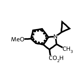 COc1ccc2c(c1)C(C(=O)O)C(C)N2C1CC1